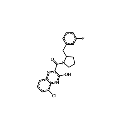 O=C(c1nc2cccc(Cl)c2nc1O)N1CCCC1Cc1cccc(F)c1